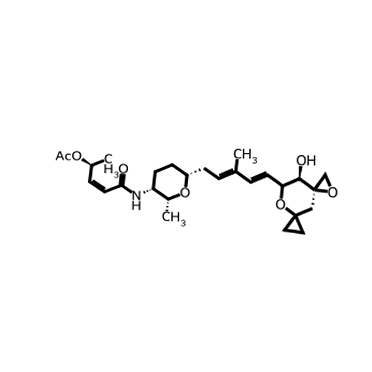 CC(=O)O[C@@H](C)/C=C\C(=O)N[C@@H]1CC[C@H](C/C=C(C)/C=C/C2OC3(CC3)C[C@@]3(CO3)[C@@H]2O)O[C@@H]1C